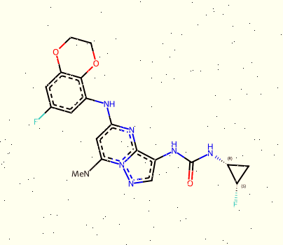 CNc1cc(Nc2cc(F)cc3c2OCCO3)nc2c(NC(=O)N[C@@H]3C[C@@H]3F)cnn12